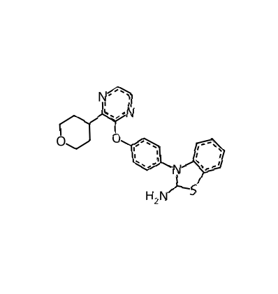 NC1Sc2ccccc2N1c1ccc(Oc2nccnc2C2CCOCC2)cc1